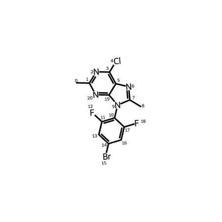 Cc1nc(Cl)c2nc(C)n(-c3c(F)cc(Br)cc3F)c2n1